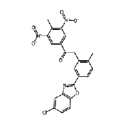 Cc1ccc(-c2nc3cc(Cl)ccc3o2)cc1CC(=O)c1cc([N+](=O)[O-])c(C)c([N+](=O)[O-])c1